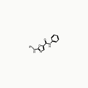 CC(C)Nc1ncc(C(=O)Nc2ccccc2)o1